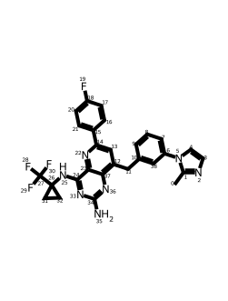 Cc1nccn1-c1cccc(Cc2cc(-c3ccc(F)cc3)nc3c(NC4(C(F)(F)F)CC4)nc(N)nc23)c1